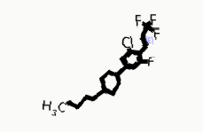 CCCCCC1CCC(c2cc(F)c(/C=C/C(F)(F)F)c(Cl)c2)CC1